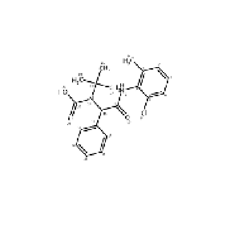 Cc1cccc(Cl)c1NC(=O)C(c1ccccc1)N(C(=O)O)C(C)(C)C